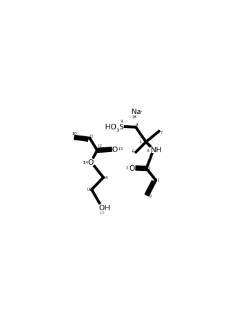 C=CC(=O)NC(C)(C)CS(=O)(=O)O.C=CC(=O)OCCO.[Na]